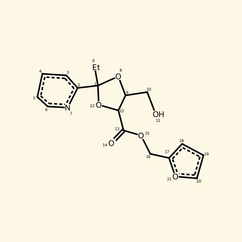 CCC1(c2ccccn2)OC(CO)C(C(=O)OCc2ccco2)O1